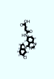 O=C(O)/C=C/C(=O)Nc1ccc2ncnc(N3CCc4ccc(Cl)cc43)c2c1